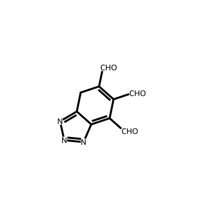 O=CC1=C(C=O)C(C=O)=C2N=NN=C2C1